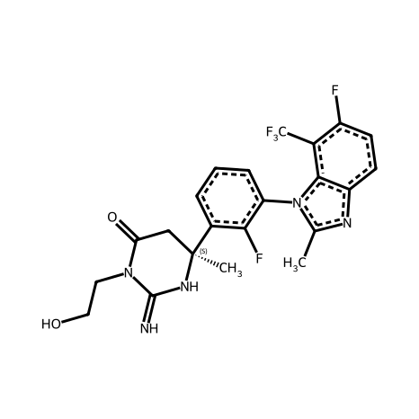 Cc1nc2ccc(F)c(C(F)(F)F)c2n1-c1cccc([C@]2(C)CC(=O)N(CCO)C(=N)N2)c1F